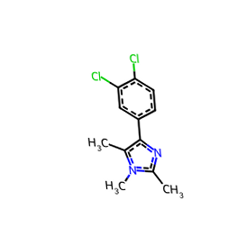 Cc1nc(-c2ccc(Cl)c(Cl)c2)c(C)n1C